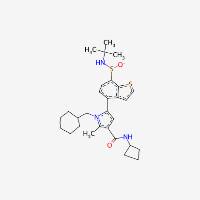 Cc1c(C(=O)NC2CCC2)cc(-c2ccc([S+]([O-])NC(C)(C)C)c3sccc23)n1CC1CCCCC1